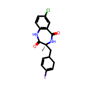 C[C@@]1(CC2C=CC(I)=CC2)NC(=O)c2cc(Cl)ccc2NC1=O